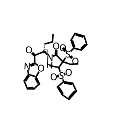 CCC[C@H](NC(=O)C(CC)(C(C)S(=O)(=O)c1ccccc1)S(=O)(=O)c1ccccc1)C(=O)c1nc2ccccc2o1